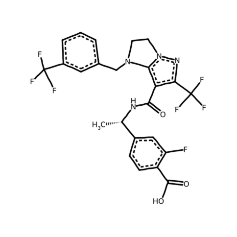 C[C@H](NC(=O)c1c(C(F)(F)F)nn2c1N(Cc1cccc(C(F)(F)F)c1)CC2)c1ccc(C(=O)O)c(F)c1